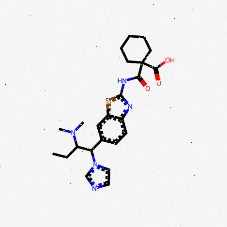 CCC(C(c1ccc2nc(NC(=O)C3(C(=O)O)CCCCC3)sc2c1)n1ccnc1)N(C)C